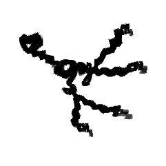 CCCCCCCCC(CCCCCC)C(=O)OCCC1(CCOC(=O)C(CCCCCC)CCCCCCCC)CCN(CCCCCc2ccccc2)CC1